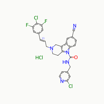 Cl.N#Cc1ccc2c(c1)c1c(n2C(=O)NCc2ccnc(Cl)c2)CCN(C/C=C/c2cc(F)c(Cl)c(F)c2)C1